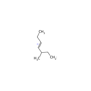 [CH2]CC(C)/C=C/CC